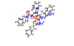 C[C@H](NC(=O)C1Cc2ccccc2C1)C(=O)N[C@@H](Cc1c[nH]c2ccccc12)C(=O)N[C@@H](Cc1ccccc1)C(=O)C(=O)NCc1ccccc1